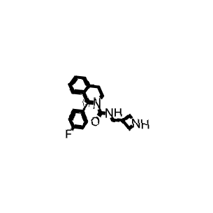 O=C(NCC1CNC1)N1CCc2ccccc2[C@@H]1c1ccc(F)cc1